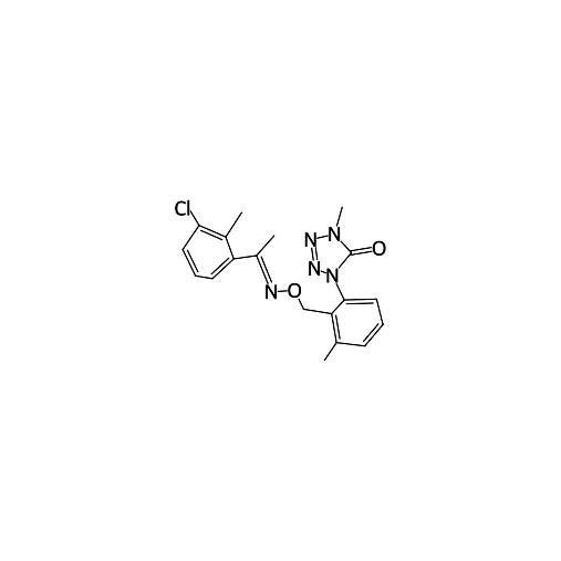 CC(=NOCc1c(C)cccc1-n1nnn(C)c1=O)c1cccc(Cl)c1C